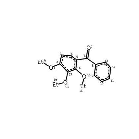 CCOc1ccc(C(=O)c2ccccc2)c(OCC)c1OCC